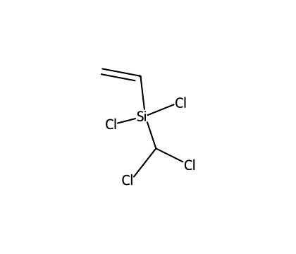 C=C[Si](Cl)(Cl)C(Cl)Cl